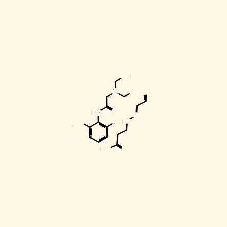 C=CCSSCCC(=O)O.CCN(CC)CC(=O)Nc1c(C)cccc1C